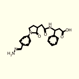 NN=Cc1ccc(N2CCC(CC(=O)NC(CC(=O)O)c3ccccc3)C2=O)cc1